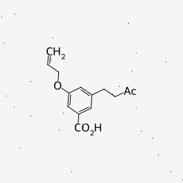 C=CCOc1cc(CCC(C)=O)cc(C(=O)O)c1